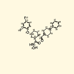 O=C(NO)[C@H]1C[C@H](Oc2ccc(F)cc2F)CC[C@@H]1C(=O)N1CCN(c2ccccc2)CC1